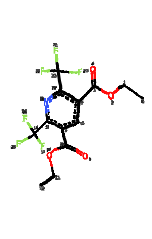 CCOC(=O)c1cc(C(=O)OCC)c(C(F)(F)F)nc1C(F)(F)F